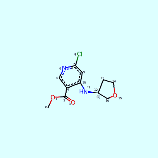 COC(=O)c1cnc(Cl)cc1N[C@H]1CCOC1